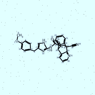 COc1ccc(Cc2c[nH]c(NC(=O)C3(C)CC4(C#N)c5ccccc5C3c3cccnc34)n2)cc1